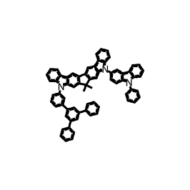 CC1(C)c2cc3c(cc2-c2cc4c5ccccc5n(-c5ccc6c(c5)c5ccccc5n6-c5ccccc5)c4cc21)c1ccccc1n3-c1cccc(-c2cc(-c3ccccc3)cc(-c3ccccc3)c2)c1